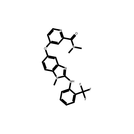 CN(C)C(=O)c1cc(Oc2ccc3c(c2)nc(Nc2ccccc2C(F)(F)F)n3C)ccn1